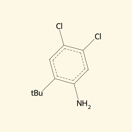 CC(C)(C)c1cc(Cl)c(Cl)cc1N